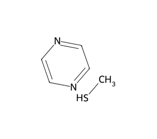 CS.c1cnccn1